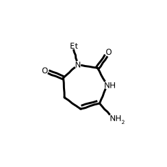 CCN1C(=O)CC=C(N)NC1=O